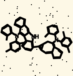 Cc1ccc(C)c(N(C2=c3ccccc3=CC3=C(c4cccc5c4[nH]c4cc6ccccc6c(N(c6ccccc6C)c6cc(C)ccc6C)c45)C3C2)c2ccccc2C)c1